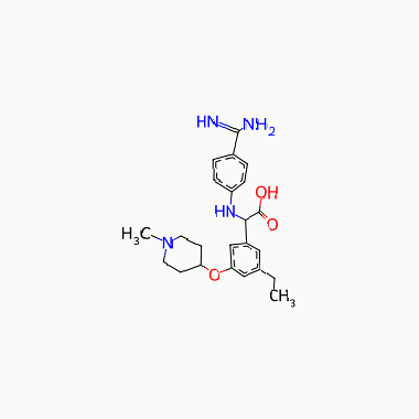 CCc1cc(OC2CCN(C)CC2)cc(C(Nc2ccc(C(=N)N)cc2)C(=O)O)c1